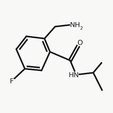 CC(C)NC(=O)c1cc(F)ccc1CN